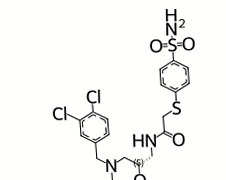 NS(=O)(=O)c1ccc(SCC(=O)NC[C@H]2CN(Cc3ccc(Cl)c(Cl)c3)CCO2)cc1